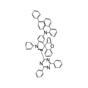 c1ccc(-c2ccc(N(c3ccc4c(c3)C3(c5ccccc5Oc5ccccc53)c3cc(-c5nc(-c6ccccc6)nc(-c6ccccc6)n5)ccc3N4c3ccccc3)c3ccccc3-c3ccccc3)cc2)cc1